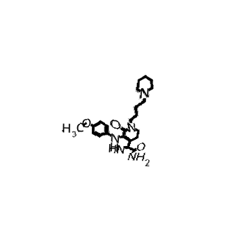 COc1ccc(NC2=C(C(=N)C(N)=O)CCN(CCCCN3CCCCC3)C2=O)cc1